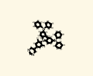 Cc1cc(-c2cncnc2)cc(C)c1-n1c2ccc(N(c3ccccc3)c3ccccc3)cc2c2cc(N(c3ccccc3)c3ccccc3)ccc21